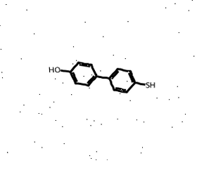 Oc1ccc(-c2ccc(S)cc2)cc1